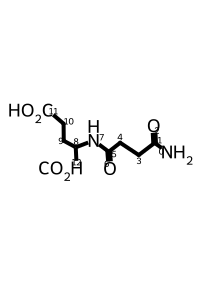 NC(=O)CCC(=O)NC(CCC(=O)O)C(=O)O